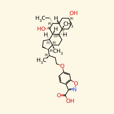 CC[C@H]1[C@@H](O)[C@@H]2[C@H](CC[C@]3(C)[C@@H]([C@H](C)CCOc4ccc5c(C(=O)O)noc5c4)CC[C@@H]23)[C@@]2(C)CC[C@@H](O)C[C@@H]12